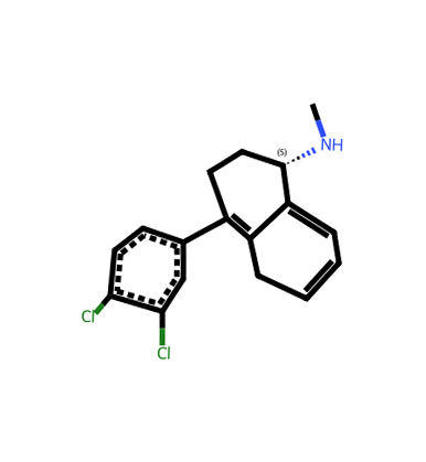 CN[C@H]1CCC(c2ccc(Cl)c(Cl)c2)=C2CC=CC=C21